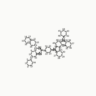 c1ccc(-c2ccc3c(-c4ccc5ccccc5c4)nc(-c4ccc(-n5c6ccccc6c6c7c8ccccc8n(-c8ccccc8)c7ccc65)cc4)nc3c2)cc1